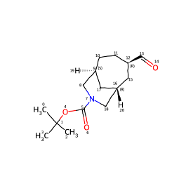 CC(C)(C)OC(=O)N1C[C@H]2CC[C@@H](C=O)C[C@@H](C2)C1